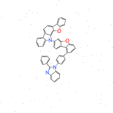 c1ccc(-c2nc3ccccc3n2-c2ccc(-c3cccc4oc5cc(-n6c7ccccc7c7ccc8c9ccccc9oc8c76)ccc5c34)cc2)cc1